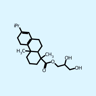 CC(C)C1=CC2=C(CC1)C1(C)CCCC(C)(C(=O)OCC(O)CO)C1CC2